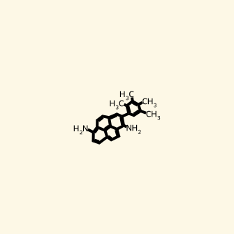 Cc1cc(-c2cc3ccc4c(N)ccc5ccc(c2N)c3c54)c(C)c(C)c1C